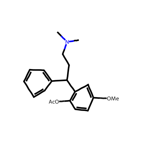 COc1ccc(OC(C)=O)c(C(CCN(C)C)c2ccccc2)c1